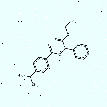 CCOC(=O)C(OC(=O)c1ccc(C(C)C)cc1)c1ccccc1